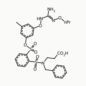 CCCON=C(N)NOc1cc(C)cc(OS(=O)(=O)c2ccccc2S(=O)(=O)N(CCC(=O)O)Cc2ccccc2)c1